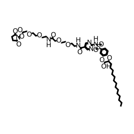 CCCCCCCCCCCCCCC(Oc1ccc(S(=O)(=O)Nc2ncc(C(=O)NCCOCCOCC(=O)NCCOCCOCC(=O)ON3C(=O)CCC3=O)cn2)cc1)C(=O)O